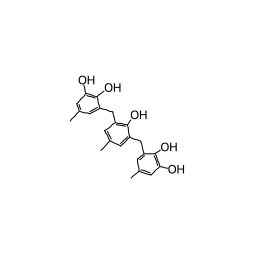 Cc1cc(O)c(O)c(Cc2cc(C)cc(Cc3cc(C)cc(O)c3O)c2O)c1